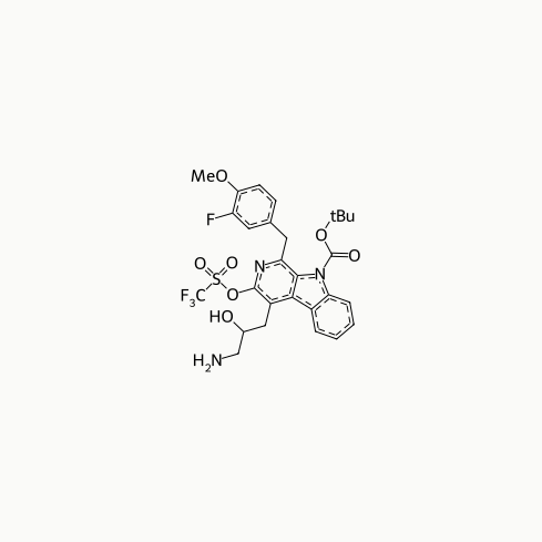 COc1ccc(Cc2nc(OS(=O)(=O)C(F)(F)F)c(CC(O)CN)c3c4ccccc4n(C(=O)OC(C)(C)C)c23)cc1F